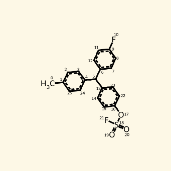 Cc1ccc(C(c2ccc(F)cc2)c2ccc(OS(=O)(=O)F)cc2)cc1